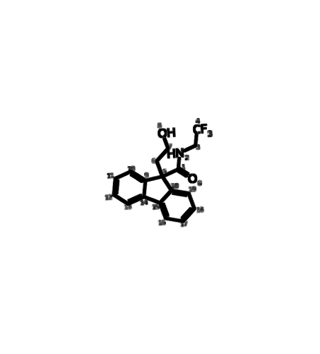 O=C(NCC(F)(F)F)C1(CCO)c2ccccc2-c2ccccc21